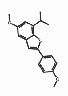 COc1ccc(-c2cc3cc(OC)cc(C(C)C)c3o2)cc1